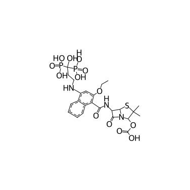 CCOc1cc(NCCC(O)(P(=O)(O)O)P(=O)(O)O)c2ccccc2c1C(=O)NC1C(=O)N2C1SC(C)(C)C2OC(=O)O